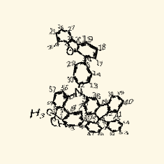 CC1(C)c2ccccc2-c2c(N(c3ccc(-c4cccc5c4oc4ccccc45)cc3)c3ccc4c(c3)-c3ccccc3C4(c3ccccc3)c3ccccc3)cccc21